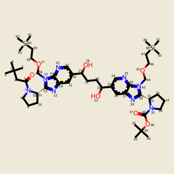 CC(C)(C)CC(=O)N1CCC[C@H]1c1nc2cc(C(O)CCC(O)c3cnc4c(c3)nc([C@@H]3CCCN3C(=O)OC(C)(C)C)n4COCC[Si](C)(C)C)cnc2n1COCC[Si](C)(C)C